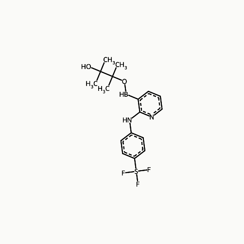 CC(C)(O)C(C)(C)OBc1cccnc1Nc1ccc(S(F)(F)F)cc1